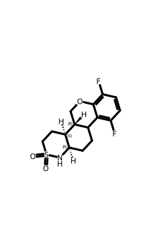 O=S1(=O)CC[C@H]2[C@@H]3COc4c(F)ccc(F)c4C3CC[C@H]2N1